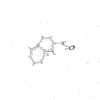 [O]Sc1ccc2ccccc2c1